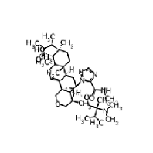 CNC(=O)c1ncnn1[C@@H]1C[C@@]23COC[C@](C)([C@@H]2CC[C@H]2C3=CC[C@@]3(C)[C@H](C(=O)O)[C@@](C)([C@H](C)C(C)C)CC[C@]23C)[C@H]1OC[C@@](C)(C(C)C)N(C)C